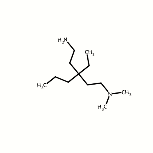 CCCC(CC)(CCN)CCN(C)C